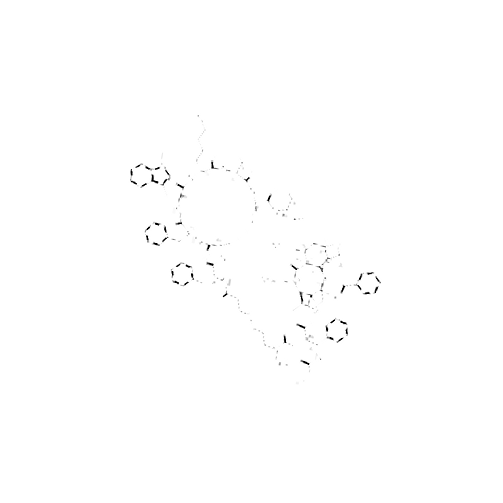 CCCCN(CCSSCCC(=O)N[C@H](Cc1ccccc1)C(=O)N[C@H]1CSSC[C@@H](C(=O)N[C@H](CO)[C@@H](C)O)NC(=O)[C@H]([C@@H](C)O)NC(=O)[C@H](CCCCN)NC(=O)[C@@H](Cc2c[nH]c3ccccc23)NC(=O)[C@H](Cc2ccccc2)NC1=O)C(=O)O[C@@H](C(=O)O[C@H]1C[C@@]2(O)[C@@H](OC(=O)c3ccccc3)[C@@H]3[C@]4(OC(C)=O)CO[C@@H]4C[C@H](OC)[C@@]3(C)C(=O)[C@H](OC)C(=C1C)C2(C)C)[C@@H](NC(=O)OC(C)(C)C)c1ccccc1